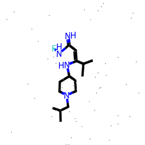 CC(C)CN1CCC(N/C(=C\C(=N)NF)C(C)C)CC1